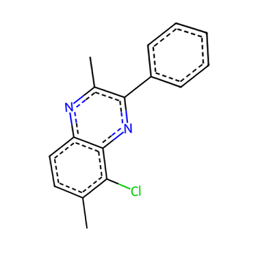 Cc1ccc2nc(C)c(-c3ccccc3)nc2c1Cl